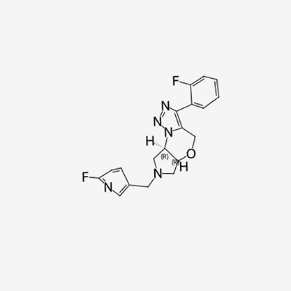 Fc1ccc(CN2C[C@@H]3[C@@H](C2)OCc2c(-c4ccccc4F)nnn23)cn1